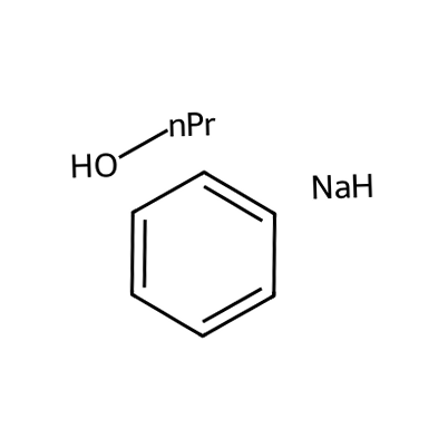 CCCO.[NaH].c1ccccc1